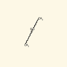 CCCCCCCCCCCCOC(=O)OCCCCCCCCCC